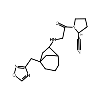 N#C[C@@H]1CCCN1C(=O)CNC1CC2(Cc3ncon3)CCCC1C2